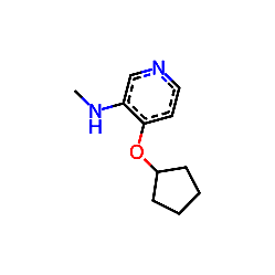 CNc1cnccc1OC1CCCC1